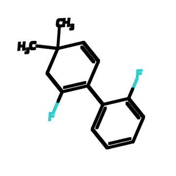 CC1(C)C=CC(c2ccccc2F)=C(F)C1